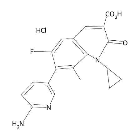 Cc1c(-c2ccc(N)nc2)c(F)cc2cc(C(=O)O)c(=O)n(C3CC3)c12.Cl